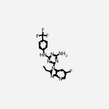 CCc1nc2ncc(F)cc2n1-c1nc(N)nc(Nc2ccc(C(F)(F)F)cc2)n1